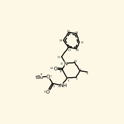 CC1CC(NC(=O)OC(C)(C)C)C(=O)N(Cc2ccccc2)C1